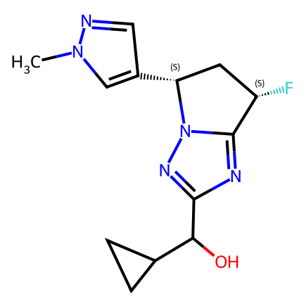 Cn1cc([C@@H]2C[C@H](F)c3nc(C(O)C4CC4)nn32)cn1